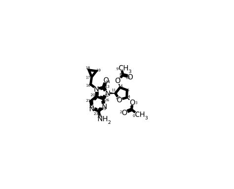 CC(=O)O[C@H]1C[C@@H](OC(C)=O)[C@H](n2c(=O)n(CC3CC3)c3cnc(N)nc32)O1